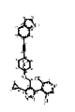 Clc1cncc(Cl)c1-c1noc(C2CC2)c1COC12CCC(C#Cc3ccc4cc[nH]c4c3)(CC1)CC2